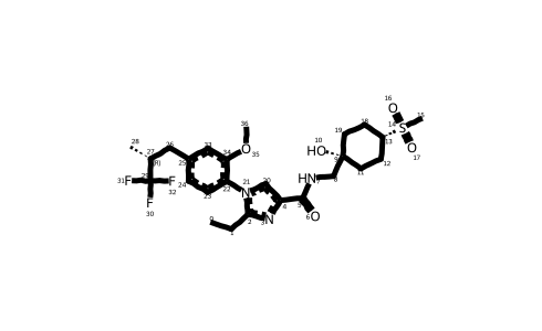 CCc1nc(C(=O)NC[C@]2(O)CC[C@@H](S(C)(=O)=O)CC2)cn1-c1ccc(C[C@@H](C)C(F)(F)F)cc1OC